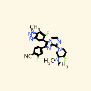 CN(C)[C@H]1CN(c2nccn3c(-c4cc5nnn(C)c5cc4F)c(-c4ccc(C#N)c(F)c4)nc23)CC[C@H]1F